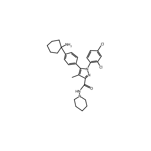 Cc1c(C(=O)NN2CCCCC2)nn(-c2ccc(Cl)cc2Cl)c1-c1ccc(C2(N)CCCCC2)cc1